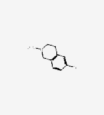 O=CN1CCc2cc(Br)ccc2C1